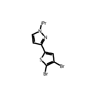 CC(C)n1ccc(-c2cc(Br)c(Br)s2)n1